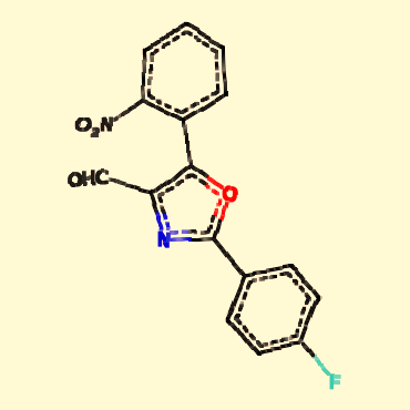 O=Cc1nc(-c2ccc(F)cc2)oc1-c1ccccc1[N+](=O)[O-]